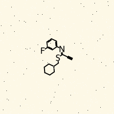 C#CC(=Nc1cccc(F)c1)SCC1CCCCC1